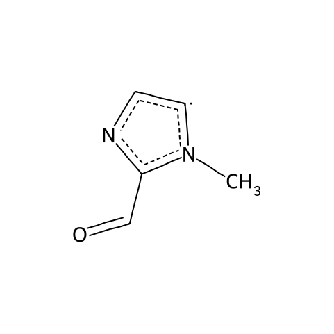 Cn1[c]cnc1C=O